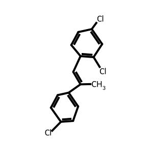 CC(=Cc1ccc(Cl)cc1Cl)c1ccc(Cl)cc1